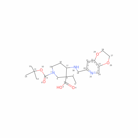 CCC1(C(=O)O)CN(C(=O)OC(C)(C)C)CCC1NCc1cc2c(cn1)OCCO2